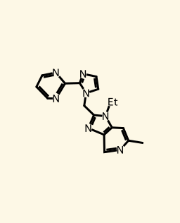 CCn1c(Cn2ccnc2-c2ncccn2)nc2cnc(C)cc21